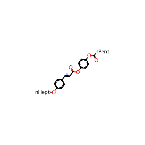 [CH2]CCCCCCOc1ccc(/C=C/C(=O)Oc2ccc(OC(=O)CCCCC)cc2)cc1